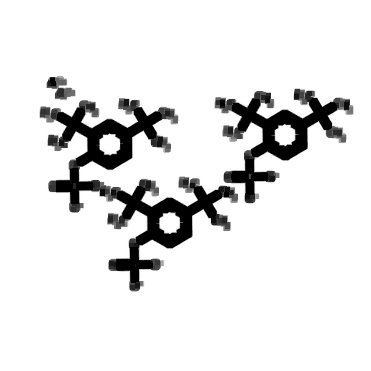 CC(C)(C)c1ccc(OP(=O)([O-])[O-])c(C(C)(C)C)c1.CC(C)(C)c1ccc(OP(=O)([O-])[O-])c(C(C)(C)C)c1.CC(C)(C)c1ccc(OP(=O)([O-])[O-])c(C(C)(C)C)c1.[Al+3].[Al+3]